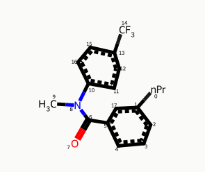 CCCc1cccc(C(=O)N(C)c2ccc(C(F)(F)F)cc2)c1